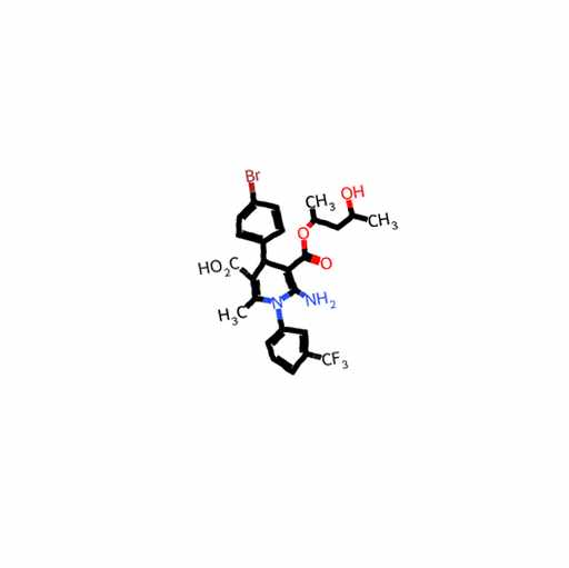 CC1=C(C(=O)O)C(c2ccc(Br)cc2)C(C(=O)OC(C)CC(C)O)=C(N)N1c1cccc(C(F)(F)F)c1